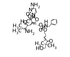 CC(C)[C@H](N)C(=O)C[C@@H]1[C@@H](COP(=O)(NCc2ccccc2)OCCSC(=O)C(C)(C)CO)O[C@@H](n2ccc(N)nc2=O)[C@]1(C)O